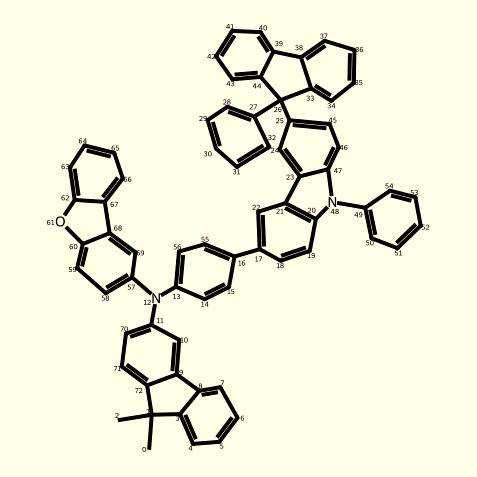 CC1(C)c2ccccc2-c2cc(N(c3ccc(-c4ccc5c(c4)c4cc(C6(c7ccccc7)c7ccccc7-c7ccccc76)ccc4n5-c4ccccc4)cc3)c3ccc4oc5ccccc5c4c3)ccc21